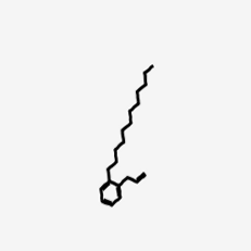 C=CCc1ccccc1CCCCCCCCCCCC